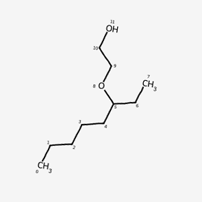 CCCCCC(CC)OCCO